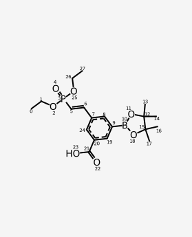 CCOP(=O)(/C=C/c1cc(B2OC(C)(C)C(C)(C)O2)cc(C(=O)O)c1)OCC